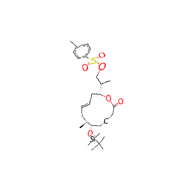 Cc1ccc(S(=O)(=O)OCC(C)[C@H]2C/C=C/C[C@H](C)[C@@H](O[Si](C)(C)C(C)(C)C)CCCC(=O)O2)cc1